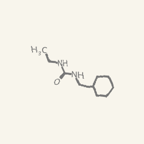 CCNC(=O)NCC1CCCCC1